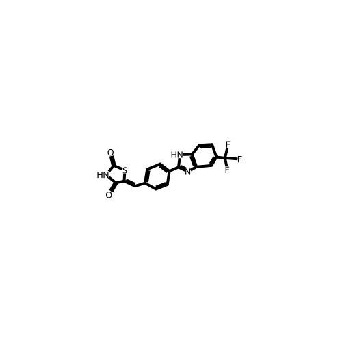 O=C1NC(=O)C(=Cc2ccc(-c3nc4cc(C(F)(F)F)ccc4[nH]3)cc2)S1